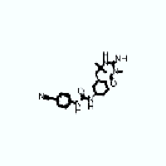 CN(C=O)C(=N)NC(C)(C)C[C@H]1CCC[C@@H](NC(=O)Nc2ccc(C#N)cc2)C1